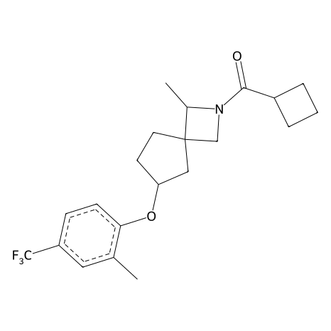 Cc1cc(C(F)(F)F)ccc1OC1CCC2(C1)CN(C(=O)C1CCC1)C2C